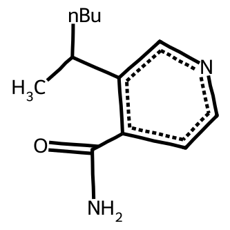 CCCCC(C)c1cnccc1C(N)=O